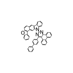 c1ccc(-c2ccc(-c3nc(-n4c5ccccc5c5cc6ccc7oc8ccccc8c7c6cc54)nc4c5ccccc5c5ccccc5c34)cc2)cc1